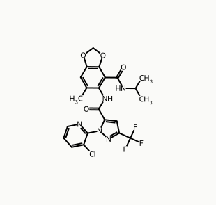 Cc1cc2c(c(C(=O)NC(C)C)c1NC(=O)c1cc(C(F)(F)F)nn1-c1ncccc1Cl)OCO2